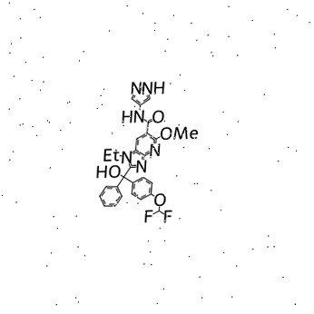 CCn1c(C(O)(c2ccccc2)c2ccc(OC(F)F)cc2)nc2nc(OC)c(C(=O)Nc3cn[nH]c3)cc21